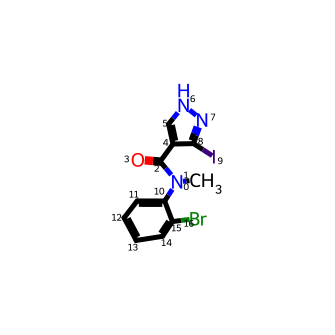 CN(C(=O)c1c[nH]nc1I)c1ccccc1Br